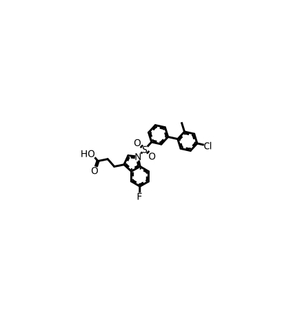 Cc1cc(Cl)ccc1-c1cccc(S(=O)(=O)n2cc(CCC(=O)O)c3cc(F)ccc32)c1